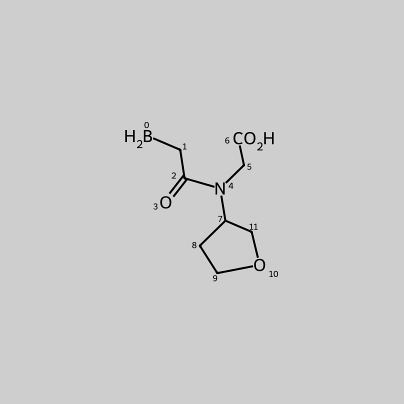 BCC(=O)N(CC(=O)O)C1CCOC1